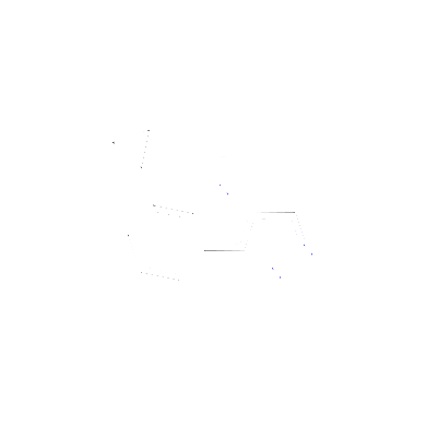 CCn1c2cn[nH]c2c2cccc(C3CC3)c21